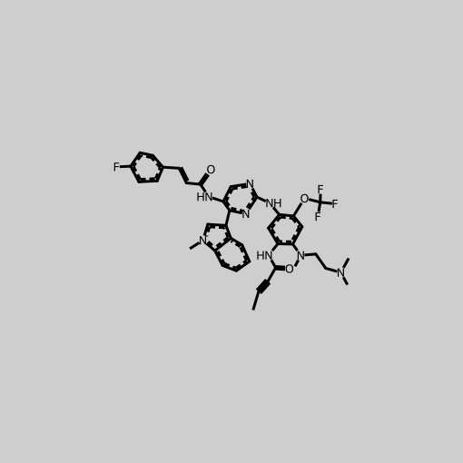 CC#CC(=O)Nc1cc(Nc2ncc(NC(=O)/C=C/c3ccc(F)cc3)c(-c3cn(C)c4ccccc34)n2)c(OC(F)(F)F)cc1N(C)CCN(C)C